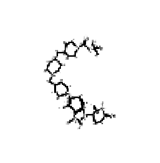 Cn1c(=O)n(C2CCC(=O)NC2=O)c2ccc(N3CCC(CN4CCC(CC5CCN(C(=O)OC(C)(C)C)CC5)CC4)CC3)c(F)c21